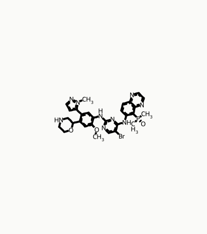 COc1cc(C2CNCCO2)c(-c2ccnn2C)cc1Nc1ncc(Br)c(Nc2ccc3nccnc3c2P(C)(C)=O)n1